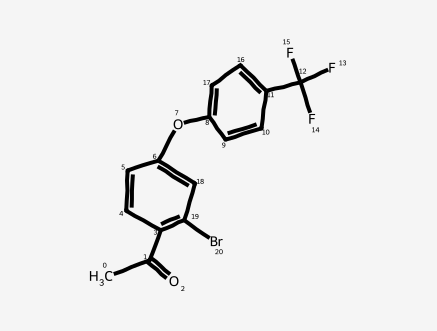 CC(=O)c1ccc(Oc2ccc(C(F)(F)F)cc2)cc1Br